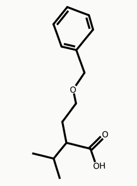 CC(C)C(CCOCc1ccccc1)C(=O)O